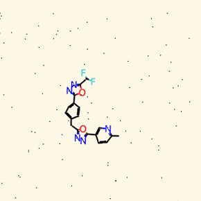 Cc1ccc(-c2nnc(Cc3ccc(-c4nnc(C(F)F)o4)cc3)o2)cn1